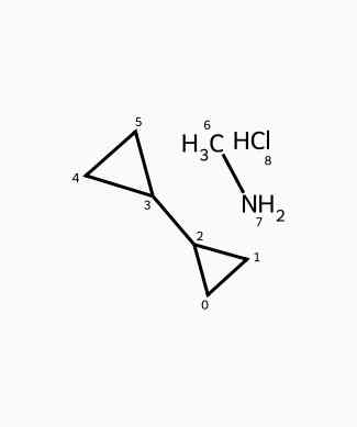 C1CC1C1CC1.CN.Cl